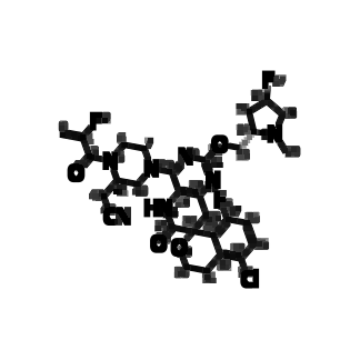 C=C(F)C(=O)N1CCN(c2nc(OC[C@@H]3CC(F)CN3C)nc3c2NC(=O)C2(C3)OCCc3c(Cl)ccc(F)c32)CC1CC#N